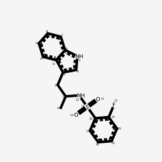 CC(Cc1c[nH]c2ccccc12)NS(=O)(=O)c1ccccc1F